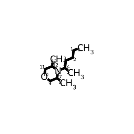 CCCCC(C)N1C(C)COCC1C